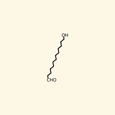 O=CCCCCCCCCCCCCO